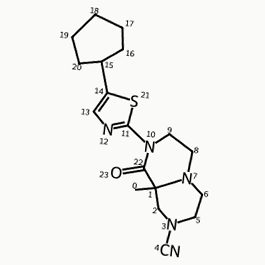 CC12CN(C#N)CCN1CCN(c1ncc(C3CCCCC3)s1)C2=O